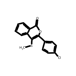 CSc1c(-c2ccc(Cl)cc2)oc(=O)c2ccccc12